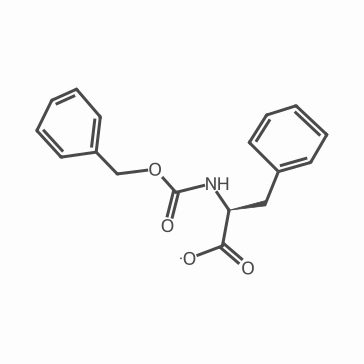 [O]C(=O)[C@H](Cc1ccccc1)NC(=O)OCc1ccccc1